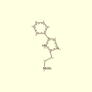 CC(=O)NCCc1ncc(-c2ccccc2)[nH]1